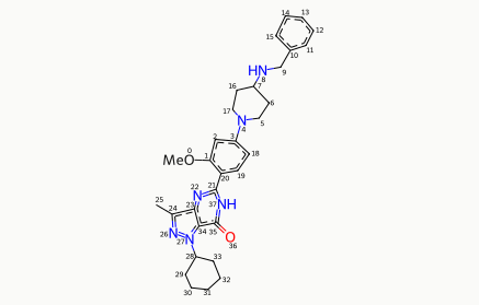 COc1cc(N2CCC(NCc3ccccc3)CC2)ccc1-c1nc2c(C)nn(C3CCCCC3)c2c(=O)[nH]1